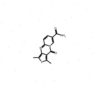 Cc1sc(C)c2c(=O)n3cc(C(N)=O)ccc3nc12